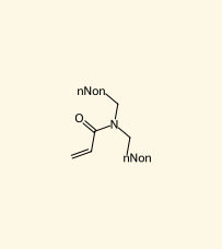 C=CC(=O)N(CCCCCCCCCC)CCCCCCCCCC